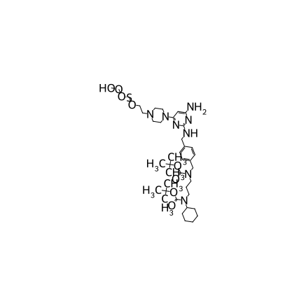 CC(C)(C)OC(=O)N(CCCN(C(=O)OC(C)(C)C)C1CCCCC1)Cc1ccc(CNc2nc(N)cc(N3CCN(CCOSOOO)CC3)n2)cc1